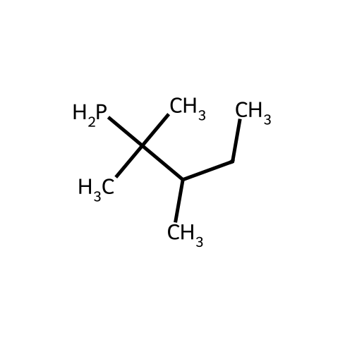 CCC(C)C(C)(C)P